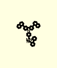 c1ccc2c(-c3ccc4c(c3)c3cc(-c5cccc6ccccc56)ccc3n4-c3ccc(-c4nnc5c6ccccc6c6ccccc6n45)cc3)cccc2c1